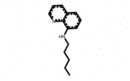 CCCCCNc1cccc2cccnc12